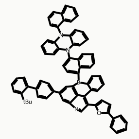 CC(C)(C)c1ccccc1-c1ccc(-c2cc3c4c(c(-c5ccc(-c6ccccc6)o5)cnc4c2)-c2ccccc2B3c2ccc(N3c4ccccc4N(c4cccc5ccccc45)c4ccccc43)c3ccccc23)cc1